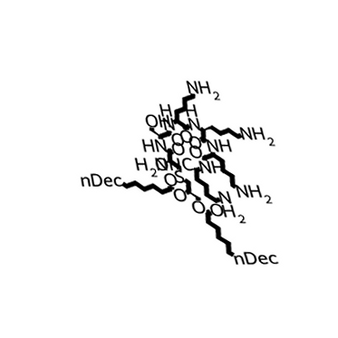 CCCCCCCCCCCCCCCC(=O)OC[C@H](CSC[C@H](N)C(=O)N[C@@H](CO)C(=O)NC(CCCCN)C(=O)N[C@@H](CCCCN)C(=O)NC(CCCCN)C(=O)N[C@H](C=O)CCCCN)OC(=O)CCCCCCCCCCCCCCC